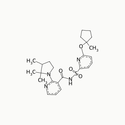 CC1CCN(c2ncccc2C(=O)NS(=O)(=O)c2cccc(OC3(C)CCCC3)n2)C1(C)C